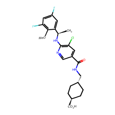 COc1c(F)cc(F)cc1[C@@H](C)Nc1ncc(C(=O)NC[C@H]2CC[C@H](C(=O)O)CC2)cc1Cl